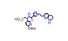 COc1ccc(C(CC(=O)O)NC(=O)c2cnn(CCc3ccc4c(n3)NCCC4)c2)cn1